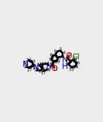 O=C(N[C@@H]1CCCc2ccc(C(=O)N3CCC4(CC3)CCN(c3ccncc3)C4)cc21)c1ccccc1Cl